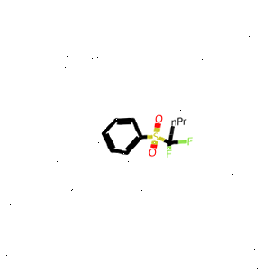 CCCC(F)(F)S(=O)(=O)c1ccccc1